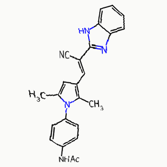 CC(=O)Nc1ccc(-n2c(C)cc(C=C(C#N)c3nc4ccccc4[nH]3)c2C)cc1